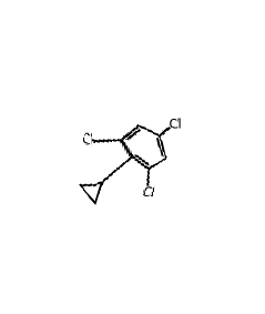 Clc1cc(Cl)c(C2CC2)c(Cl)c1